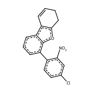 O=[N+]([O-])c1cc(Cl)ccc1-c1cccc2c3c(oc12)CCC=C3